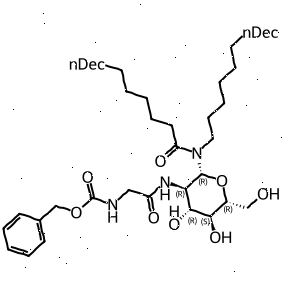 CCCCCCCCCCCCCCCCN(C(=O)CCCCCCCCCCCCCCC)[C@@H]1O[C@H](CO)[C@@H](O)[C@H](O)[C@H]1NC(=O)CNC(=O)OCc1ccccc1